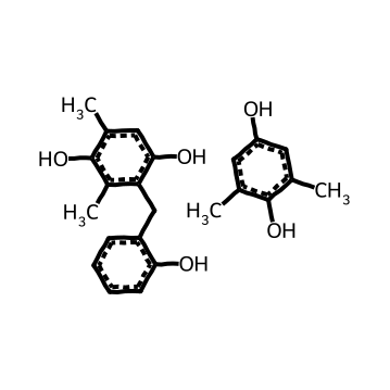 Cc1cc(O)c(Cc2ccccc2O)c(C)c1O.Cc1cc(O)cc(C)c1O